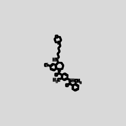 Cc1ccccc1C(=O)Nc1ccc(C(=O)N2CCCC(NCCCCCN3CCOCC3)c3cc(Cl)ccc32)c(C)c1